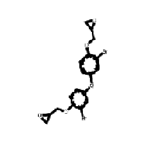 Brc1cc(Oc2ccc(OCC3CO3)c(Br)c2)ccc1OCC1CO1